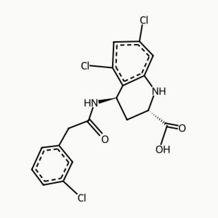 O=C(Cc1cccc(Cl)c1)N[C@@H]1C[C@@H](C(=O)O)Nc2cc(Cl)cc(Cl)c21